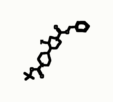 CC(C)(C)OC(=O)N1CCC(C2CCN(C(=O)OCc3ccccc3)CC2F)CC1